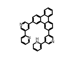 C1=CCNC(c2cncc(-c3ccc4c5ccccc5c5ccc(-c6cncc(-c7ccccn7)c6)cc5c4c3)c2)=C1